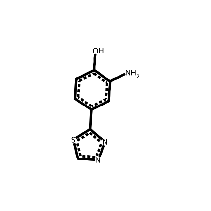 Nc1cc(-c2nncs2)ccc1O